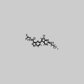 O=C(NCC(F)F)c1cnn2ccc(-c3c[nH]c4nc(NCCC(F)(F)F)ncc34)cc12